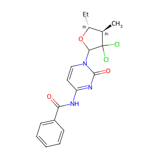 CC[C@H]1OC(n2ccc(NC(=O)c3ccccc3)nc2=O)C(Cl)(Cl)[C@@H]1C